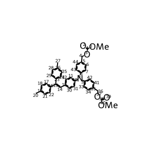 COC(=O)OCc1ccc(N(c2ccc(C=C(c3ccc(C)cc3)c3ccc(C)cc3)cc2)c2ccc(COC(=O)OC)cc2)cc1